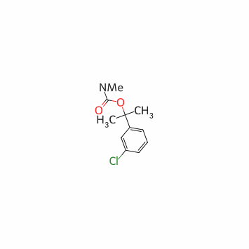 CNC(=O)OC(C)(C)c1cccc(Cl)c1